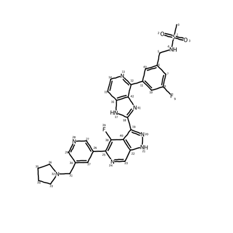 CS(=O)(=O)NCc1cc(F)cc(-c2nccc3[nH]c(-c4n[nH]c5cnc(-c6cncc(CN7CCCC7)c6)c(F)c45)nc23)c1